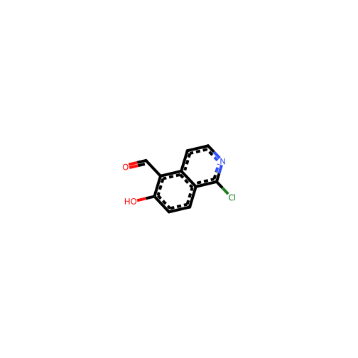 O=Cc1c(O)ccc2c(Cl)nccc12